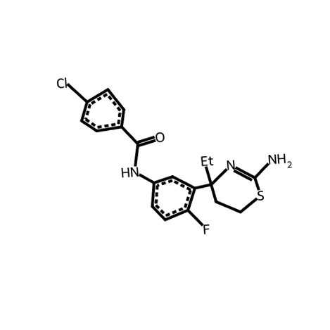 CCC1(c2cc(NC(=O)c3ccc(Cl)cc3)ccc2F)CCSC(N)=N1